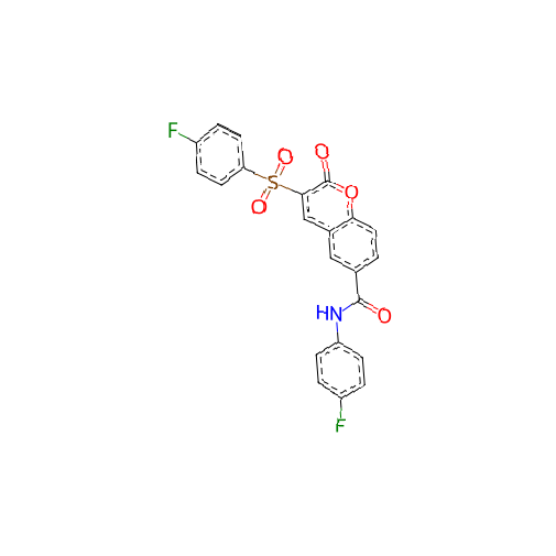 O=C(Nc1ccc(F)cc1)c1ccc2oc(=O)c(S(=O)(=O)c3ccc(F)cc3)cc2c1